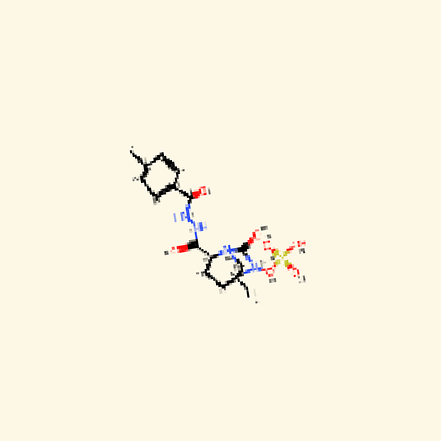 [CH2]c1ccc(C(=O)NNC(=O)[C@@H]2CC[C@@H]3CN2C(=O)N3OS(=O)(=O)O)cc1